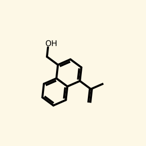 C=C(C)c1ccc(CO)c2ccccc12